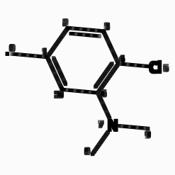 [CH2]c1ccc(Cl)c(N(C)C)c1